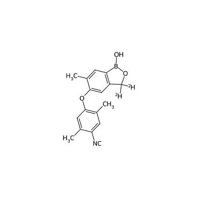 [2H]C1([2H])OB(O)c2cc(C)c(Oc3cc(C)c([N+]#[C-])cc3C)cc21